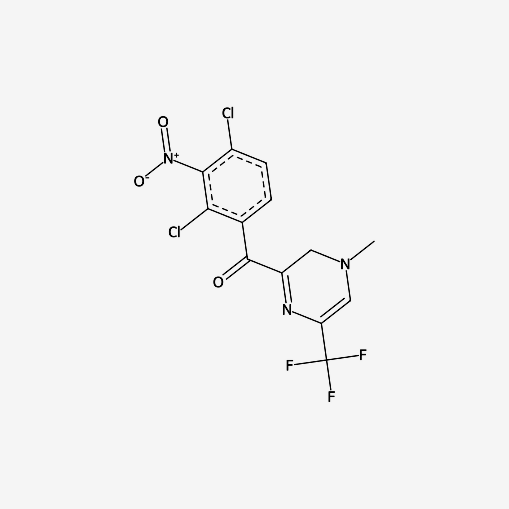 CN1C=C(C(F)(F)F)N=C(C(=O)c2ccc(Cl)c([N+](=O)[O-])c2Cl)C1